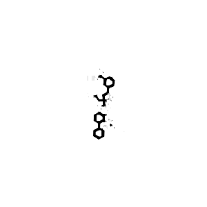 COC(=O)CC1(C(=O)Nc2ccc(-c3ccccc3)c(S(N)(=O)=O)c2F)C=C(c2cccc(C(=N)N)c2)NO1